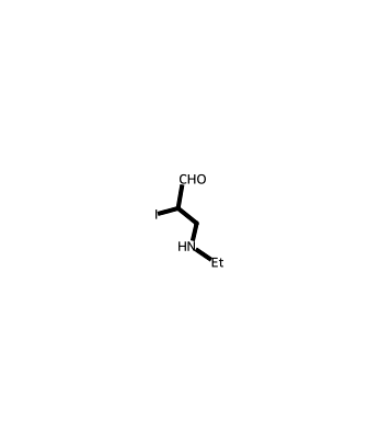 CCNCC(I)C=O